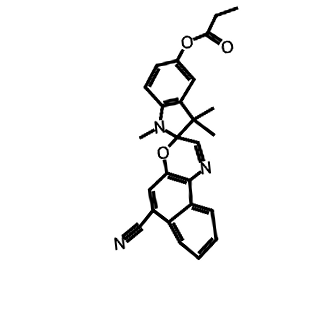 CCC(=O)Oc1ccc2c(c1)C(C)(C)C1(C=Nc3c(cc(C#N)c4ccccc34)O1)N2C